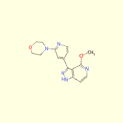 COc1nccc2[nH]nc(-c3ccnc(N4CCOCC4)c3)c12